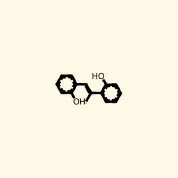 [CH2]/C(=C\c1ccccc1O)c1ccccc1O